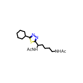 CC(=O)NCCCCC(NC(C)=O)c1nnc(C2CCCCC2)s1